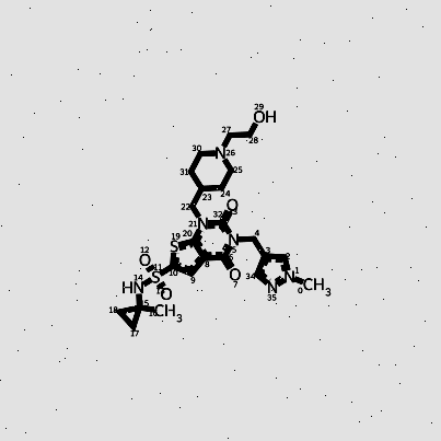 Cn1cc(Cn2c(=O)c3cc(S(=O)(=O)NC4(C)CC4)sc3n(CC3CCN(CCO)CC3)c2=O)cn1